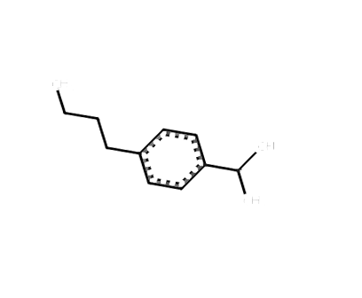 CCCCc1ccc([C](C)C)cc1